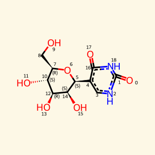 O=c1[nH]cc([C@@H]2O[C@H](CO)[C@@H](O)[C@H](O)[C@@H]2O)c(=O)[nH]1